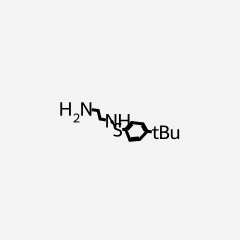 CC(C)(C)c1ccc(SNCCN)cc1